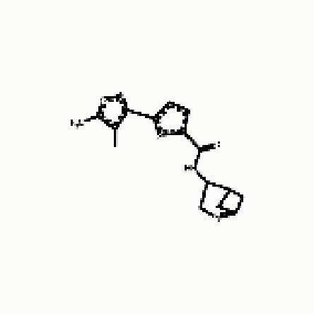 Cc1c(-c2ccc(C(=O)NC3CN=C4CC3C4)s2)noc1C(F)(F)F